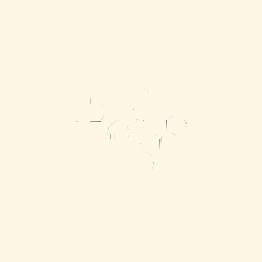 CC1=C(C)C(C)=[C]([Ti]([O]c2cc(C)cc(-c3ccccc3)c2)[SiH](C)C)C1.Cl.Cl